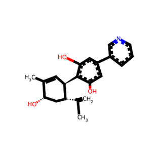 C=C(C)[C@@H]1C[C@H](O)C(C)=C[C@H]1c1c(O)cc(-c2cccnc2)cc1O